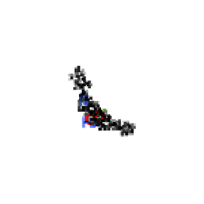 CC(C)(C)c1ccc(CCN2CCc3cc(S(=O)(=O)Nc4ccc(CCC5CCCC5)cc4F)ccc3C2)cc1